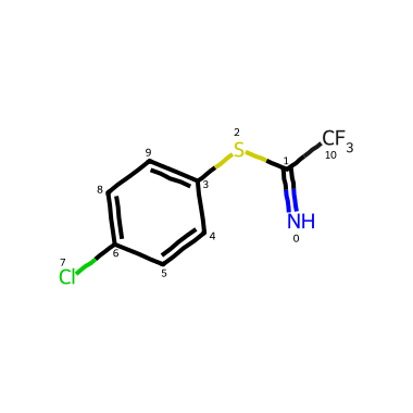 N=C(Sc1ccc(Cl)cc1)C(F)(F)F